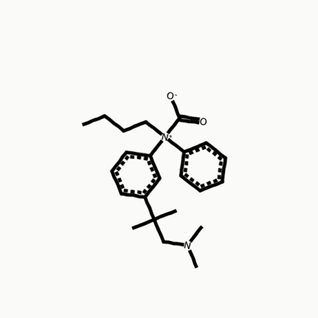 CCCC[N+](C(=O)[O-])(c1ccccc1)c1cccc(C(C)(C)CN(C)C)c1